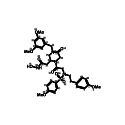 COc1ccc(CCN(CC(=O)N2CC(=O)N(Cc3cc(OC)cc(OC)c3)CC2CC(=O)NO)S(=O)(=O)c2ccc(OC)cc2)cc1